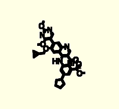 COC(=O)c1cc(Nc2c(C(N)=O)cnc3cc(-c4cnc(OC)nc4OC)c(OCC4CC4)cc23)cc(C2CCCC2)c1